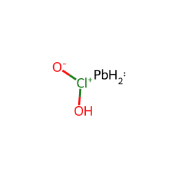 [O-][Cl+]O.[PbH2]